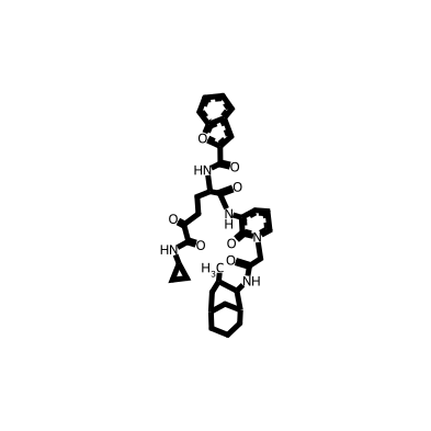 CC1CC2CCCC(C2)C1NC(=O)Cn1cccc(NC(=O)C(CCC(=O)C(=O)NC2CC2)NC(=O)c2cc3ccccc3o2)c1=O